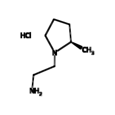 C[C@@H]1CCCN1CCN.Cl